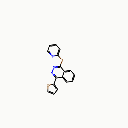 c1ccc(Sc2nnc(-c3cccs3)c3ccccc23)nc1